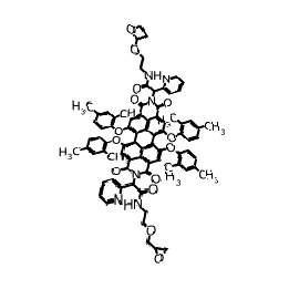 Cc1ccc(Oc2cc3c4c(cc(Oc5ccc(C)cc5C)c5c6c(Oc7ccc(C)cc7C)cc7c8c(cc(Oc9ccc(C)cc9C)c(c2c45)c86)C(=O)N(C(C(=O)NCCOC2CCO2)c2ccccn2)C7=O)C(=O)N(C(C(=O)NCCOCC2CO2)c2ccccn2)C3=O)c(C)c1